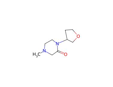 CN1CCN(C2CCOC2)C(=O)C1